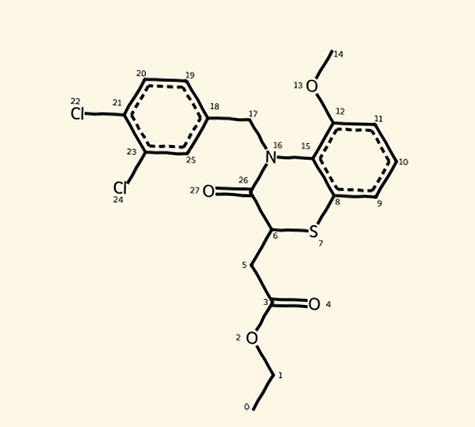 CCOC(=O)CC1Sc2cccc(OC)c2N(Cc2ccc(Cl)c(Cl)c2)C1=O